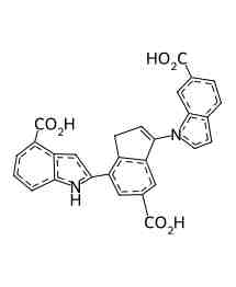 O=C(O)c1cc2c(c(-c3cc4c(C(=O)O)cccc4[nH]3)c1)CC=C2n1ccc2ccc(C(=O)O)cc21